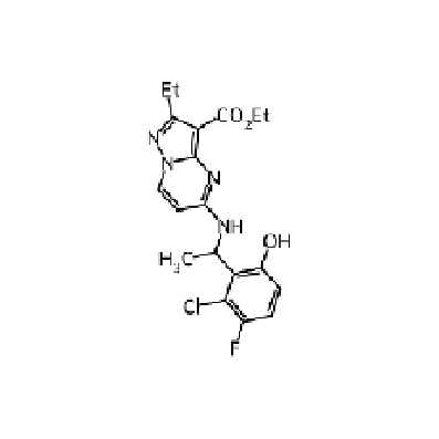 CCOC(=O)c1c(CC)nn2ccc(NC(C)c3c(O)ccc(F)c3Cl)nc12